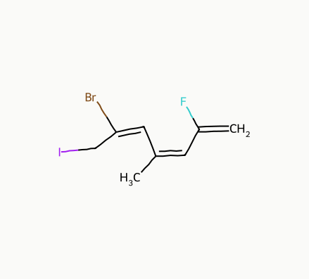 C=C(F)/C=C(C)\C=C(\Br)CI